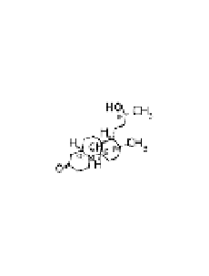 C[C@@H]1CC[C@H]2[C@@H](CC[C@H]3CC(=O)CC[C@@]32C)[C@@H]1CC[C@@H](C)O